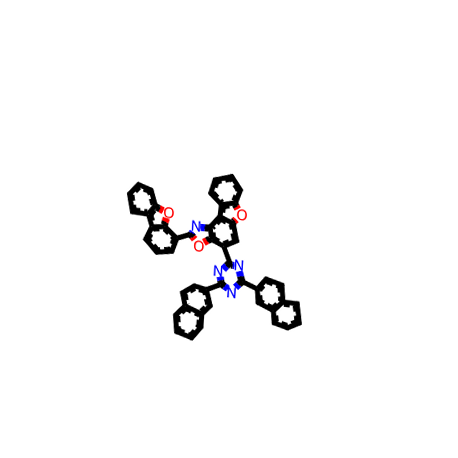 c1ccc2cc(-c3nc(-c4ccc5ccccc5c4)nc(-c4cc5oc6ccccc6c5c5nc(-c6cccc7c6oc6ccccc67)oc45)n3)ccc2c1